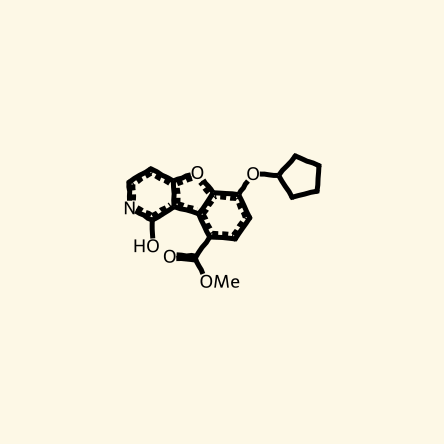 COC(=O)c1ccc(OC2CCCC2)c2oc3ccnc(O)c3c12